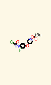 CC(C)(C)C(=O)ON1CCC(Oc2ccc(NC(=O)CCl)c(F)c2)CC1